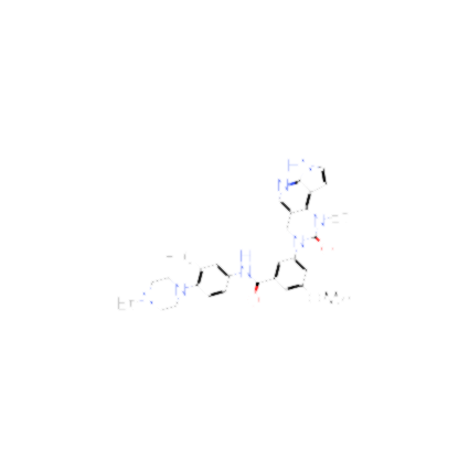 CCN1CCN(c2ccc(NC(=O)c3cc(OC)cc(N4Cc5cnc6[nH]ccc6c5N(CC)C4=O)c3)cc2C(F)(F)F)CC1